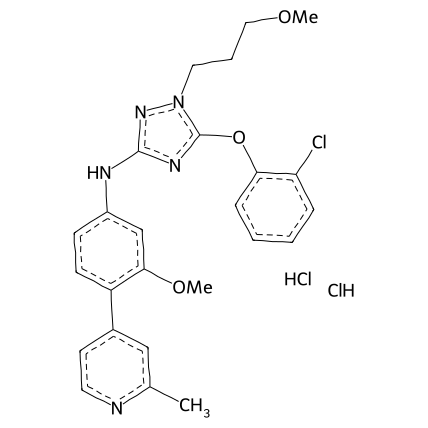 COCCCn1nc(Nc2ccc(-c3ccnc(C)c3)c(OC)c2)nc1Oc1ccccc1Cl.Cl.Cl